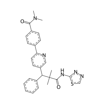 CN(C)C(=O)c1ccc(-c2ccc(C(c3ccccc3)C(C)(C)C(=O)Nc3nncs3)cn2)cc1